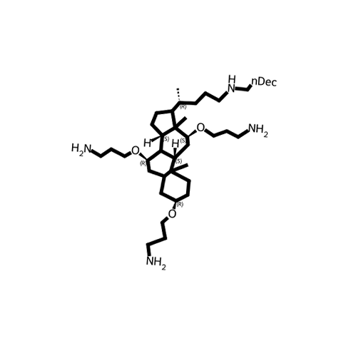 CCCCCCCCCCCNCCC[C@@H](C)C1CC[C@H]2C3[C@H](OCCCN)CC4C[C@H](OCCCN)CCC4(C)[C@H]3C[C@H](OCCCN)C12C